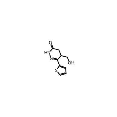 O=C1CC(CO)C(c2cccs2)=NN1